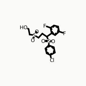 O=S(=O)(CCO)CCC(c1cc(F)ccc1F)S(=O)(=O)c1ccc(Cl)cc1